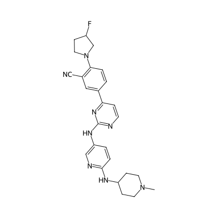 CN1CCC(Nc2ccc(Nc3nccc(-c4ccc(N5CCC(F)C5)c(C#N)c4)n3)cn2)CC1